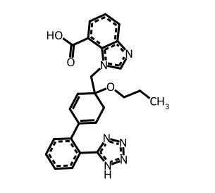 CCCOC1(Cn2cnc3cccc(C(=O)O)c32)C=CC(c2ccccc2-c2nnn[nH]2)=CC1